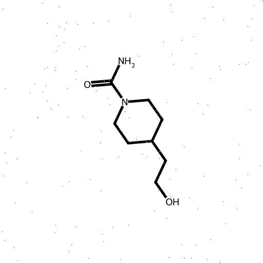 NC(=O)N1CCC(CCO)CC1